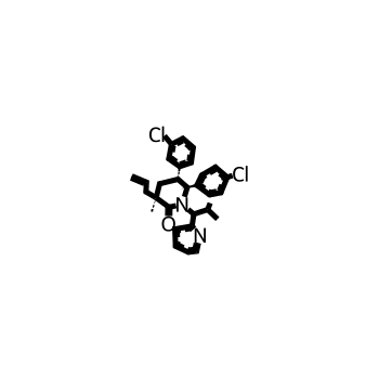 C=CC[C@@]1(C)C[C@H](c2cccc(Cl)c2)[C@@H](c2ccc(Cl)cc2)N(C(c2ccccn2)C(C)C)C1=O